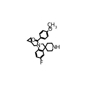 COc1ccc(C(=O)[N+]2(CC3CC3)CC3(CCNCC3)c3cc(F)ccc32)cc1